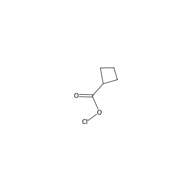 O=C(OCl)C1CCC1